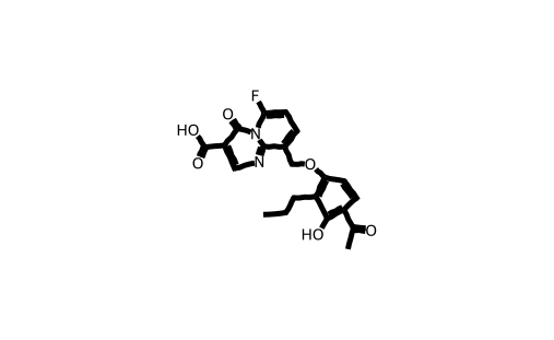 CCCc1c(OCc2ccc(F)n3c(=O)c(C(=O)O)cnc23)ccc(C(C)=O)c1O